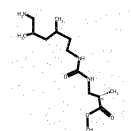 COC(=O)[C@@H](C)CNC(=O)NCCC(C)CC(C)CN